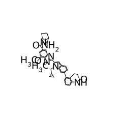 COc1cc(C(=O)N2CC3CCC2C3N)cc2nc(-c3cc4ccc(-c5cccc6c5CCC(=O)N6)cc4n3CC3CC3)n(C)c12